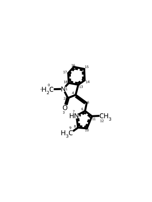 [CH2]N1C(=O)/C(=C\c2[nH]c(C)cc2C)c2ccccc21